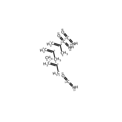 C.C=CC.C=CC.C=CC.N=C=O.N=C=O.N=C=O